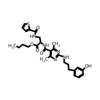 CCCCOC(=O)C(CNC(=O)c1cccs1)NC(=O)c1c(C)nc(NCCCc2cccc(O)c2)nc1C